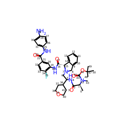 C[C@@H](C(=O)NC(CN1Cc2ccccc2[C@H]1C(=O)Nc1cc(C(=O)Nc2ccc(N)cc2)ccc1F)C1CCOCC1)N(C)C(=O)OC(C)(C)C